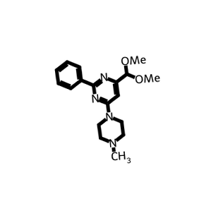 COC(OC)c1cc(N2CCN(C)CC2)nc(-c2ccccc2)n1